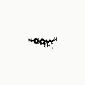 CO[C@]1(C=CC=C(F)C#N)CC[C@H](c2ccc(C#N)cc2)CC1